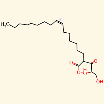 CCCCCCCC/C=C\CCCCCCC(C(=O)O)C(=O)C(O)CO